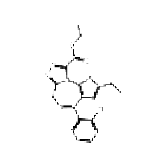 CCOC(=O)c1nnc2n1-c1sc(CC)cc1C(c1ccccc1Cl)=NC2